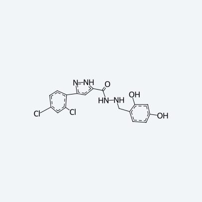 O=C(NNCc1ccc(O)cc1O)c1cc(-c2ccc(Cl)cc2Cl)n[nH]1